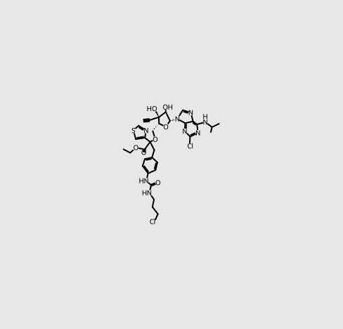 C#C[C@@]1(O)[C@@H](COC(Cc2ccc(NC(=O)NCCCCl)cc2)(C(=O)OCC)c2cscn2)O[C@@H](n2cnc3c(NC(C)C)nc(Cl)nc32)[C@@H]1O